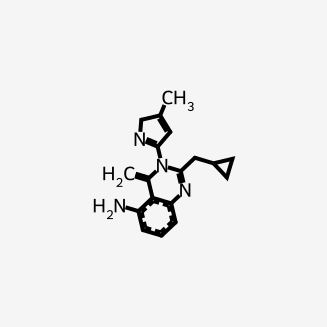 C=C1c2c(N)cccc2N=C(CC2CC2)N1C1=NCC(C)=C1